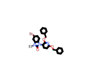 CCn1c(=O)n(-c2ccc(OCc3ccccc3)nc2OCc2ccccc2)c2ccc(Br)cc21